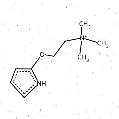 C[N+](C)(C)CCOc1ccc[nH]1